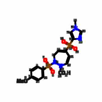 COc1ccc(S(=O)(=O)N2CC=C(S(=O)(=O)c3cn(C)cn3)C=CN2C(=O)O)cc1